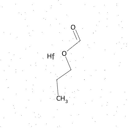 CCCOC=O.[Hf]